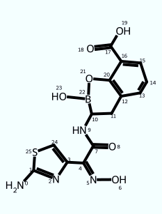 Nc1nc(/C(=N/O)C(=O)NC2Cc3cccc(C(=O)O)c3OB2O)cs1